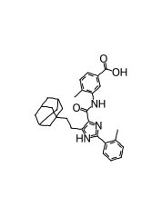 Cc1ccc(C(=O)O)cc1NC(=O)c1nc(-c2ccccc2C)[nH]c1CCC12CC3CC(CC(C3)C1)C2